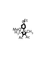 CCOc1ccc(-n2c(C)c(C(C)=O)c(C(C)=O)c2C)c(OC)c1